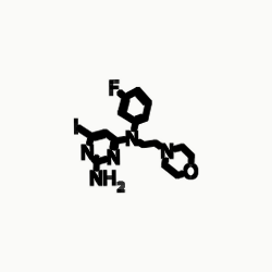 Nc1nc(I)cc(N(CCN2CCOCC2)c2cccc(F)c2)n1